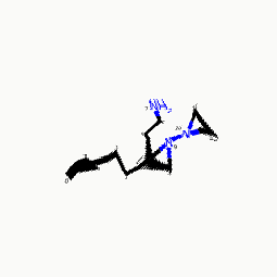 C#CCCC1(CCN)CN1N1CC1